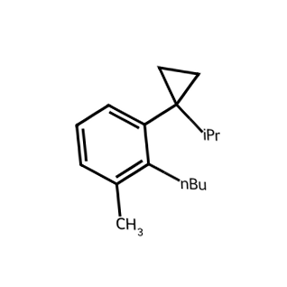 CCCCc1c(C)cccc1C1(C(C)C)CC1